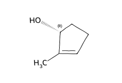 CC1=CCC[C@H]1O